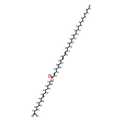 CCCCCCCCCCCCCCCCCCCCCCCCCCCCCCCCCCC(=O)OCCCCCCCCCCCCCCCC(C)C